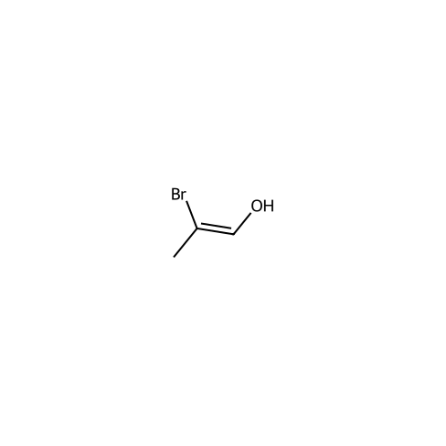 CC(Br)=CO